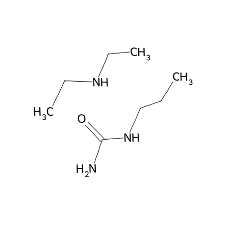 CCCNC(N)=O.CCNCC